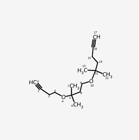 C#CCCOC(C)(C)CCOC(C)(C)CCC#C